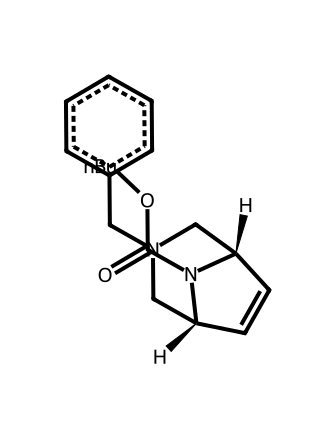 CCCCOC(=O)N1[C@@H]2C=C[C@H]1CN(Cc1ccccc1)C2